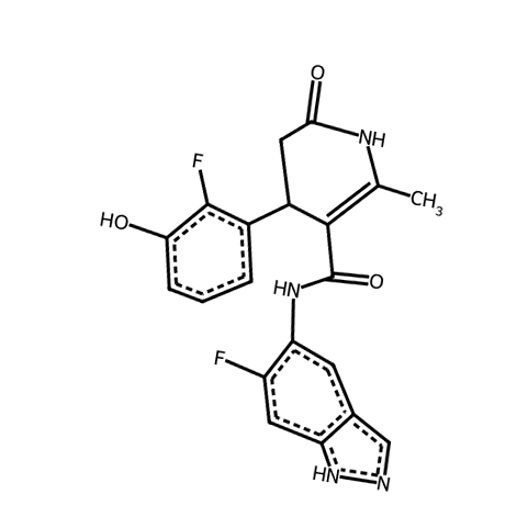 CC1=C(C(=O)Nc2cc3cn[nH]c3cc2F)C(c2cccc(O)c2F)CC(=O)N1